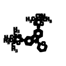 CC1(C)OB(c2ccc3c(c2)c2cc(B4OC(C)(C)C(C)(C)O4)ccc2n3C2CCCCO2)OC1(C)C